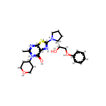 Cc1nc2sc(N3CCC[C@@H]3C(O)COc3ccccc3)nc2c(=O)n1C1CCOCC1